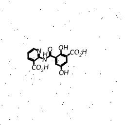 O=C(O)c1cccnc1NC(=O)c1cc(O)cc(C(=O)O)c1O